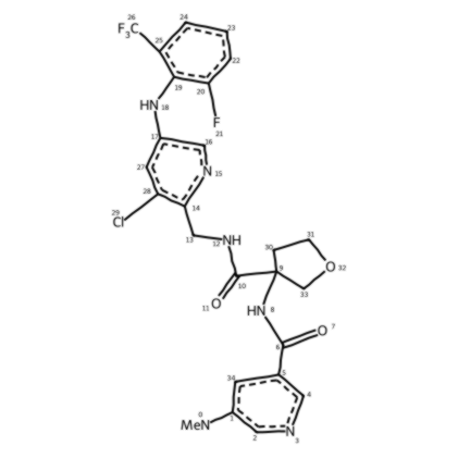 CNc1cncc(C(=O)NC2(C(=O)NCc3ncc(Nc4c(F)cccc4C(F)(F)F)cc3Cl)CCOC2)c1